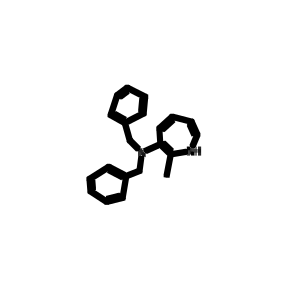 CC1=C(N(Cc2ccccc2)Cc2ccccc2)C=CC=CN1